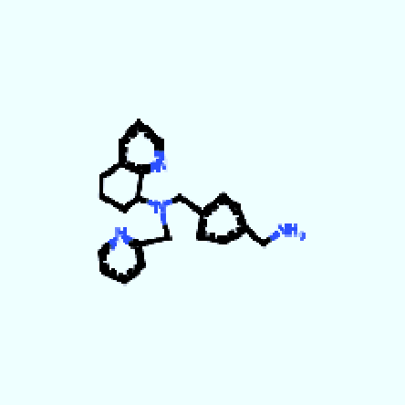 NCc1ccc(CN(Cc2ccccn2)C2CCCc3cccnc32)cc1